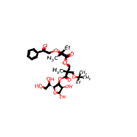 CCC(C)(C)OCC(C)(COC(=O)C(C)(CC)OCC(=O)c1ccccc1)C(=O)OC1[C@@H](C(O)CO)O[C@H](O)[C@@H]1O